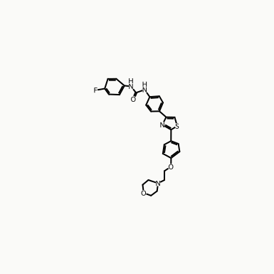 O=C(Nc1ccc(F)cc1)Nc1ccc(-c2csc(-c3ccc(OCCN4CCOCC4)cc3)n2)cc1